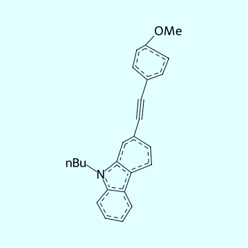 CCCCn1c2ccccc2c2ccc(C#Cc3ccc(OC)cc3)cc21